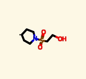 O=S(=O)(CCO)N1CC[CH]CC1